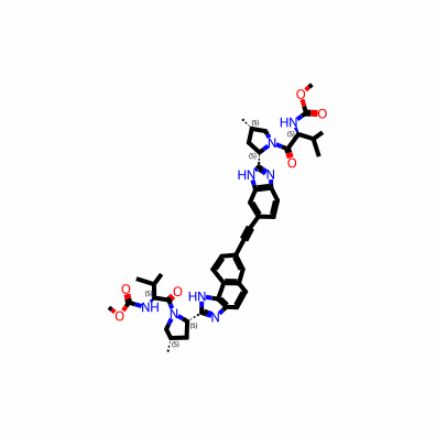 COC(=O)N[C@H](C(=O)N1C[C@@H](C)C[C@H]1c1nc2ccc(C#Cc3ccc4c(ccc5nc([C@@H]6C[C@H](C)CN6C(=O)[C@@H](NC(=O)OC)C(C)C)[nH]c54)c3)cc2[nH]1)C(C)C